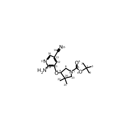 CC(C)(C)OC(=O)N1C[C@H](Oc2cc(C#N)cnc2N)C(C)(C)C1